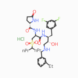 CCCC(CCC)S(=O)(=O)CC(NC(=O)[C@@H]1CCC(=O)N1)C(=O)N[C@@H](Cc1cc(F)cc(F)c1)[C@H](O)CNCc1cccc(CC)c1.Cl